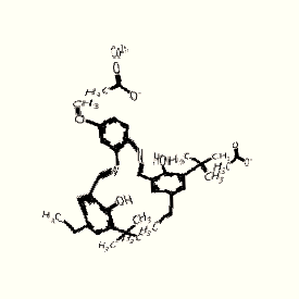 CC(=O)[O-].CC(=O)[O-].CCc1cc(C=Nc2ccc(OC)cc2N=Cc2cc(CC)cc(C(C)(C)C)c2O)c(O)c(C(C)(C)C)c1.[Co+2]